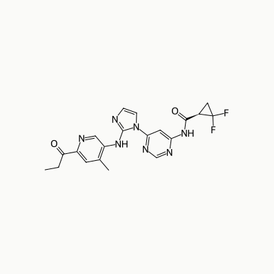 CCC(=O)c1cc(C)c(Nc2nccn2-c2cc(NC(=O)[C@H]3CC3(F)F)ncn2)cn1